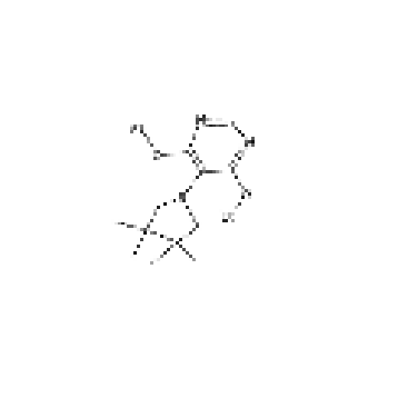 CCOc1ncnc(OCC)c1B1CC(C)(C)C(C)(C)C1